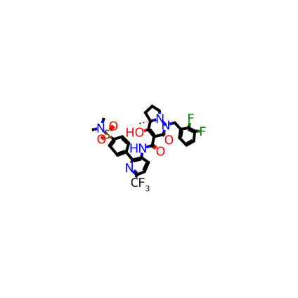 CN(C)S(=O)(=O)c1ccc(-c2nc(C(F)(F)F)ccc2NC(=O)C2=C(O)[C@@]3(C)CCCN3N(Cc3cccc(F)c3F)C2=O)cc1